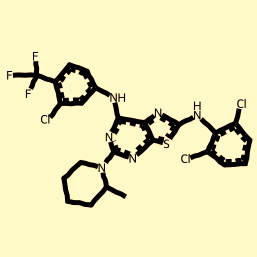 CC1CCCCN1c1nc(Nc2ccc(C(F)(F)F)c(Cl)c2)c2nc(Nc3c(Cl)cccc3Cl)sc2n1